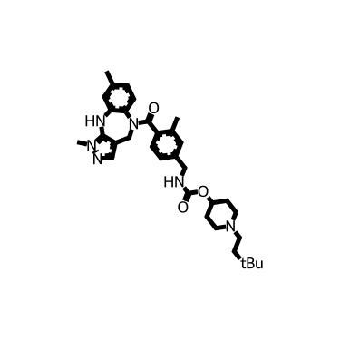 Cc1ccc2c(c1)Nc1c(cnn1C)CN2C(=O)c1ccc(CNC(=O)OC2CCN(CCC(C)(C)C)CC2)cc1C